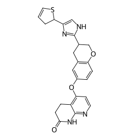 O=C1CCc2c(Oc3ccc4c(c3)CC(c3nc(C5CC=CS5)c[nH]3)CO4)ccnc2N1